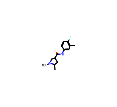 Cc1cc(NC(=O)C2CC(C)N(C(C)(C)C)C2)ccc1F